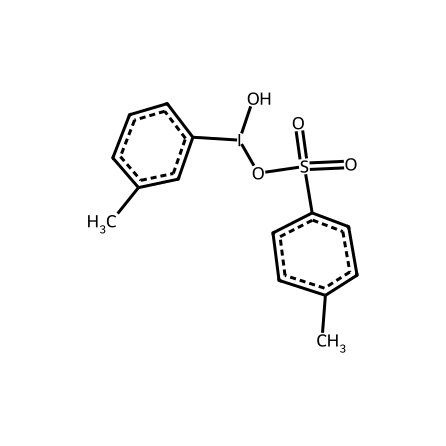 Cc1ccc(S(=O)(=O)OI(O)c2cccc(C)c2)cc1